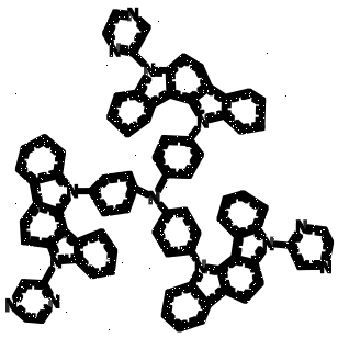 c1ccc2c(c1)c1c(ccc3c4ccccc4n(-c4ccc(N(c5ccc(-n6c7ccccc7c7ccc8c(c9ccccc9n8-c8cnccn8)c76)cc5)c5ccc(-n6c7ccccc7c7ccc8c(c9ccccc9n8-c8cnccn8)c76)cc5)cc4)c31)n2-c1cnccn1